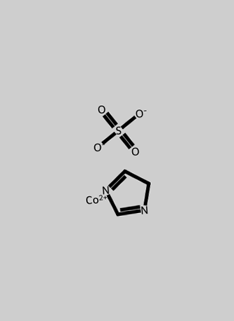 C1=NC=NC1.O=S(=O)([O-])[O-].[Co+2]